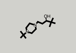 CC(C)(C)[C@H](O)CCN1CCN(C(C)(C)C)CC1